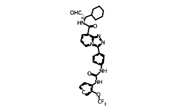 O=C[C@@H](NC(=O)c1cccn2c(-c3ccc(NC(=O)Nc4ccccc4OC(F)(F)F)cc3)nnc12)C1CCCCC1